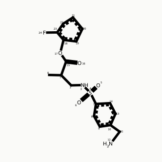 CC(CNS(=O)(=O)c1ccc(CN)cc1)C(=O)Oc1ccccc1F